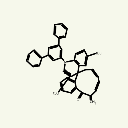 C=C1/C=C\C=C/CC2(c3ccccc3C1=O)c1cc(C(C)(C)C)ccc1N(c1cc(-c3ccccc3)cc(-c3ccccc3)c1)c1ccc(C(C)(C)C)cc12